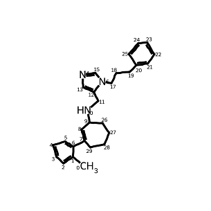 Cc1ccccc1C1=CC(NCc2cncn2CCCc2ccccc2)CCCC1